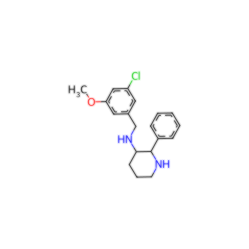 COc1cc(Cl)cc(CNC2CCCNC2c2ccccc2)c1